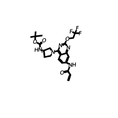 C=CC(=O)Nc1ccc2c(N3CC[C@@H](NC(=O)OC(C)(C)C)C3)nc(OCC(F)(F)F)nc2c1